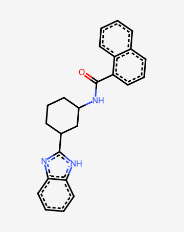 O=C(NC1CCCC(c2nc3ccccc3[nH]2)C1)c1cccc2ccccc12